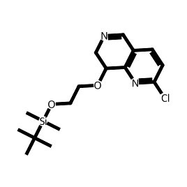 CC(C)(C)[Si](C)(C)OCCOC1CN=Cc2ccc(Cl)nc21